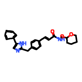 O=C(/C=C/c1ccc(Cc2ncc(-c3ccccc3)[nH]2)cc1)NOC1CCCCO1